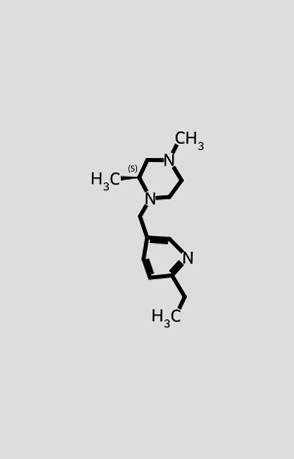 CCc1ccc(CN2CCN(C)C[C@@H]2C)cn1